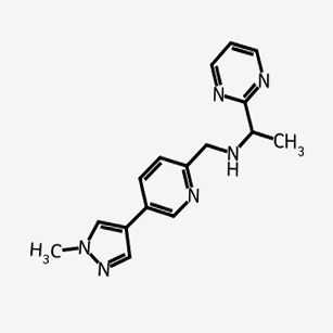 CC(NCc1ccc(-c2cnn(C)c2)cn1)c1ncccn1